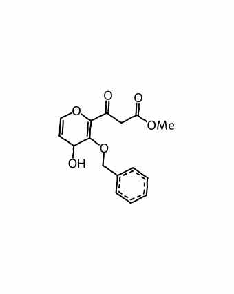 COC(=O)CC(=O)C1=C(OCc2ccccc2)C(O)C=CO1